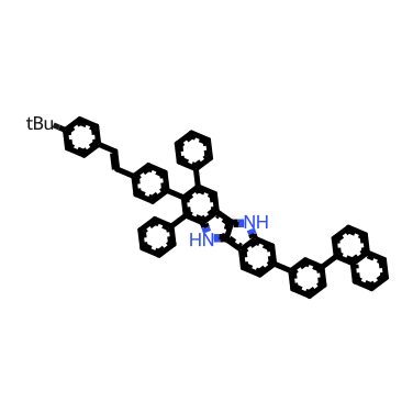 CC(C)(C)c1ccc(C=Cc2ccc(-c3c(-c4ccccc4)cc4c([nH]c5c6ccc(-c7cccc(-c8cccc9ccccc89)c7)cc6[nH]c45)c3-c3ccccc3)cc2)cc1